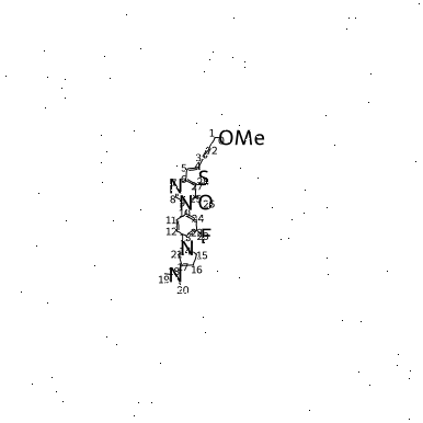 COCC#Cc1cc2ncn(-c3ccc(N4CC[C@@H](N(C)C)C4)c(F)c3)c(=O)c2s1